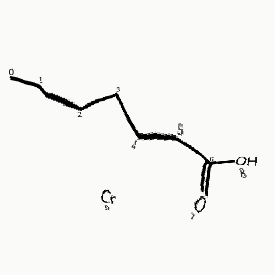 CCCCCCC(=O)O.[Cr]